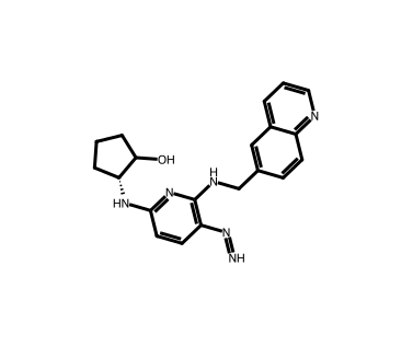 N=Nc1ccc(N[C@@H]2CCCC2O)nc1NCc1ccc2ncccc2c1